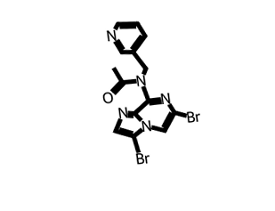 CC(=O)N(Cc1cccnc1)c1nc(Br)cn2c(Br)cnc12